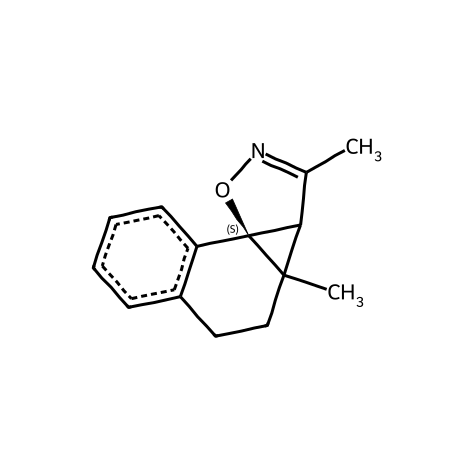 CC1=NO[C@]23c4ccccc4CCC2(C)C13